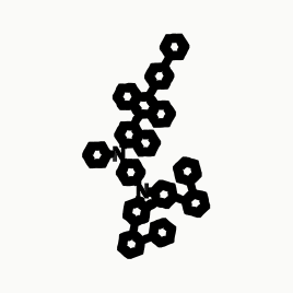 c1ccc(-c2ccc(-c3c4ccccc4c(-c4ccc(N(c5ccccc5)c5ccc(-n6c7ccc(-c8ccccc8-c8ccccc8)cc7c7cc(-c8ccccc8-c8ccccc8)ccc76)cc5)c5ccccc45)c4ccccc34)cc2)cc1